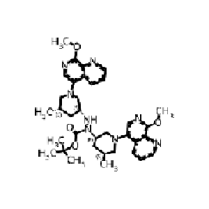 COc1ncc(N2C[C@@H](C)C[C@@H](NN(C(=O)OC(C)(C)C)[C@@H]3C[C@H](C)CN(c4cnc(OC)c5ncccc45)C3)C2)c2cccnc12